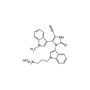 Cl.Cn1cc(-c2c(C#N)[nH]c(=O)n2-c2cn(CCCN)c3ccccc23)c2ccccc21